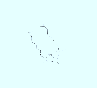 CCC[Si](C)(O[Si](C)(C)CCCOCC1CO1)O[Si](C)(C)CCCOCC1CO1